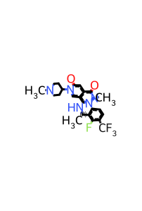 C[C@@H](Nc1nn(C)c(=O)c2cc(=O)n(C3CCN(C)CC3)cc12)c1cccc(C(F)(F)F)c1F